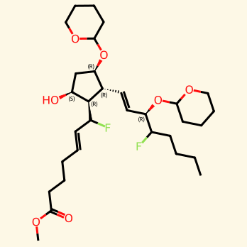 CCCCC(F)[C@@H](C=C[C@@H]1[C@@H](C(F)C=CCCCC(=O)OC)[C@@H](O)C[C@H]1OC1CCCCO1)OC1CCCCO1